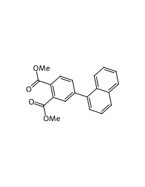 COC(=O)c1ccc(-c2cccc3ccccc23)cc1C(=O)OC